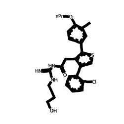 CCCOc1ccc(-c2scc(-c3ccccc3Cl)c2CC(=O)NC(=N)NCCCO)cc1C